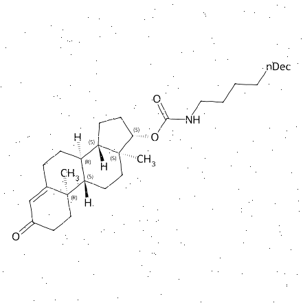 CCCCCCCCCCCCCCNC(=O)O[C@H]1CC[C@H]2[C@@H]3CCC4=CC(=O)CC[C@]4(C)[C@H]3CC[C@]12C